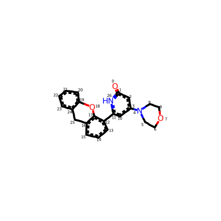 O=c1cc(N2CCOCC2)cc(-c2cccc3c2Oc2ccccc2C3)[nH]1